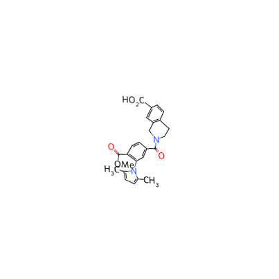 COC(=O)c1ccc(C(=O)N2CCc3ccc(C(=O)O)cc3C2)cc1-n1c(C)ccc1C